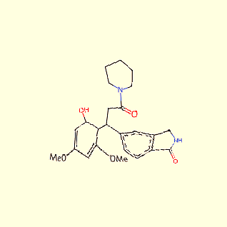 COC1=CC(O)C(C(CC(=O)N2CCCCC2)c2ccc3c(c2)CNC3=O)C(OC)=C1